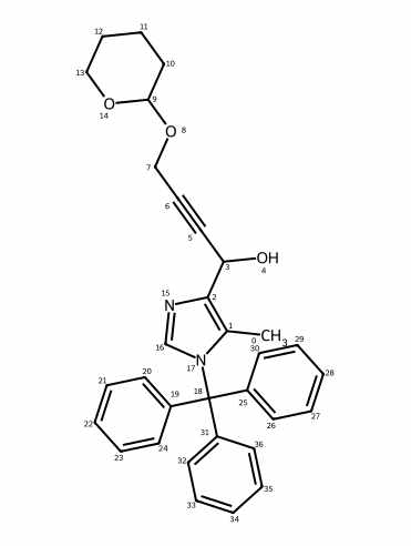 Cc1c(C(O)C#CCOC2CCCCO2)ncn1C(c1ccccc1)(c1ccccc1)c1ccccc1